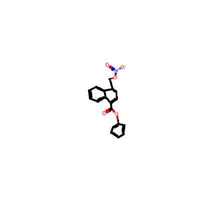 O=C(Oc1ccccc1)c1ccc(CO[N+](=O)[O-])c2ccccc12